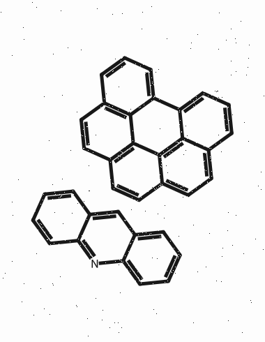 c1cc2ccc3ccc4ccc5cccc6c(c1)c2c3c4c56.c1ccc2nc3ccccc3cc2c1